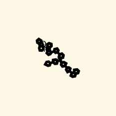 C1=CCCC(c2ccc(N(c3ccc(-c4ccc(-c5cccc6ccccc56)cc4)cc3)c3cccc(-c4cccc(-c5cccc6c5c5ccccc5n6C5C=CC=C6c7ccccc7OC65)c4)c3)cc2)=C1